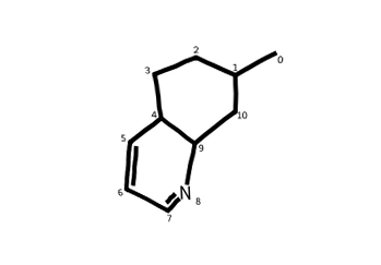 CC1CCC2C=CC=NC2C1